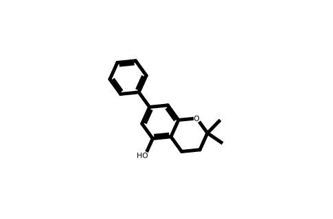 CC1(C)CCc2c(O)cc(-c3ccccc3)cc2O1